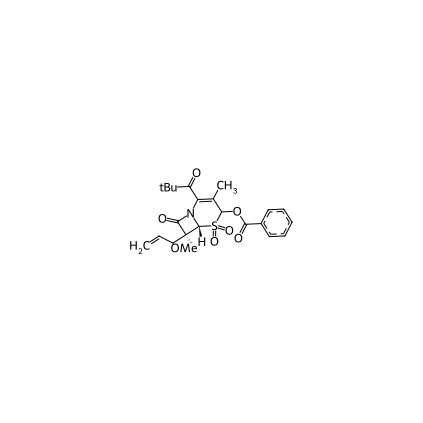 C=CC[C@@]1(OC)C(=O)N2C(C(=O)C(C)(C)C)=C(C)C(OC(=O)c3ccccc3)S(=O)(=O)[C@@H]21